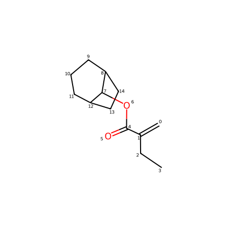 C=C(CC)C(=O)OC1C2CCCC1CC2